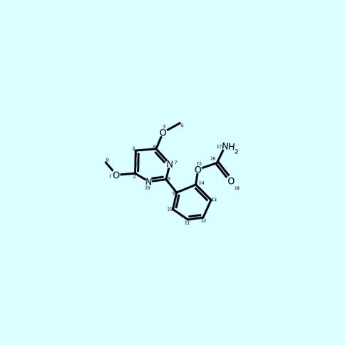 COc1cc(OC)nc(-c2ccccc2OC(N)=O)n1